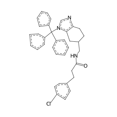 O=C(CCc1ccc(Cl)cc1)NCC1CCc2ncn(C(c3ccccc3)(c3ccccc3)c3ccccc3)c2C1